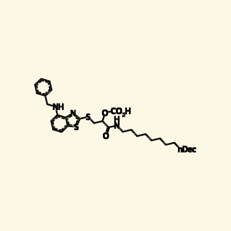 CCCCCCCCCCCCCCCCCCNC(=O)C(CSc1nc2c(NCc3ccccc3)cccc2s1)OC(=O)O